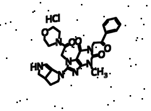 Cl.Cn1c(=O)n(CC(=O)c2ccccc2)c(=O)c2c1nc(N1CCC3CNC=C31)n2CC(=O)N1CCOCC1